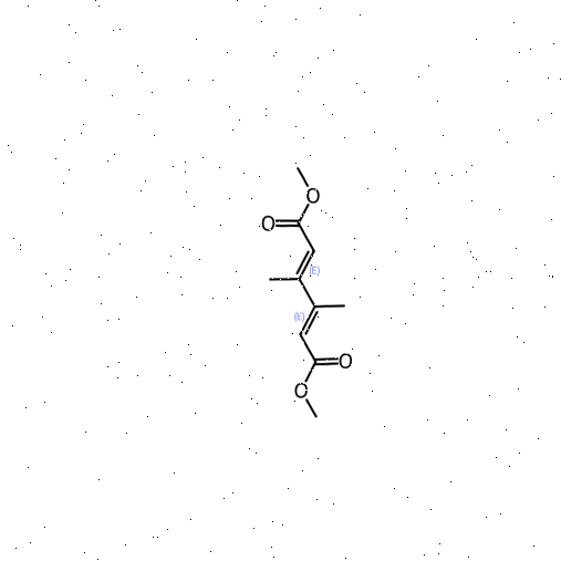 COC(=O)/C=C(C)/C(C)=C/C(=O)OC